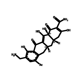 CC(=O)c1cc(CN)c(O)c2c1C[C@H]1C[C@H]3CC(O)=C(C(N)=O)C(=O)[C@@]3(O)C(O)=C1C2=O